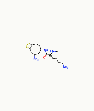 CN[C@@H](CCCCN)C(=O)NC1CCC2SSC2CC(N)C1